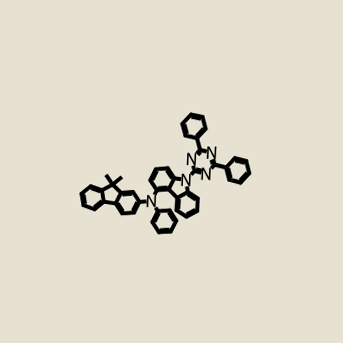 CC1(C)c2ccccc2-c2ccc(N(c3ccccc3)c3cccc4c3c3ccccc3n4-c3nc(-c4ccccc4)nc(-c4ccccc4)n3)cc21